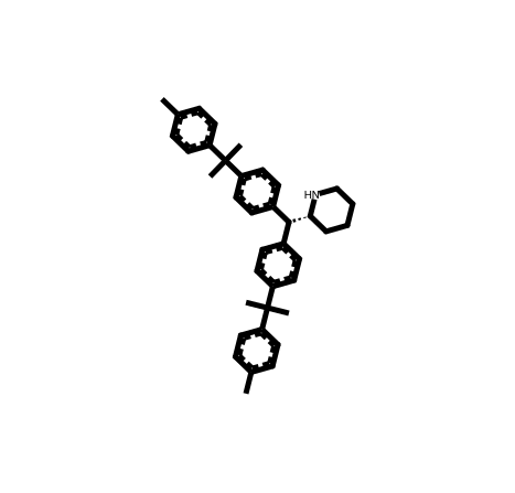 Cc1ccc(C(C)(C)c2ccc(C(c3ccc(C(C)(C)c4ccc(C)cc4)cc3)[C@H]3CCCCN3)cc2)cc1